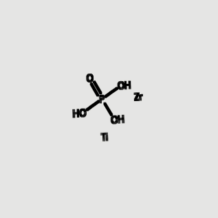 O=P(O)(O)O.[Ti].[Zr]